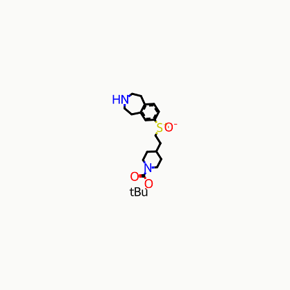 CC(C)(C)OC(=O)N1CCC(CC[S+]([O-])c2ccc3c(c2)CCNCC3)CC1